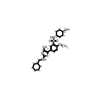 COc1ccc(-c2sc(NCC3CCCCC3)nc2C)cc1S(=O)(=O)N[C@H]1CC[C@H](O)CC1